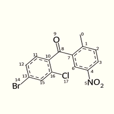 Cc1ccc([N+](=O)[O-])cc1C(=O)c1ccc(Br)cc1Cl